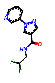 O=C(NCC(F)F)c1cnn(-c2cccnc2)c1